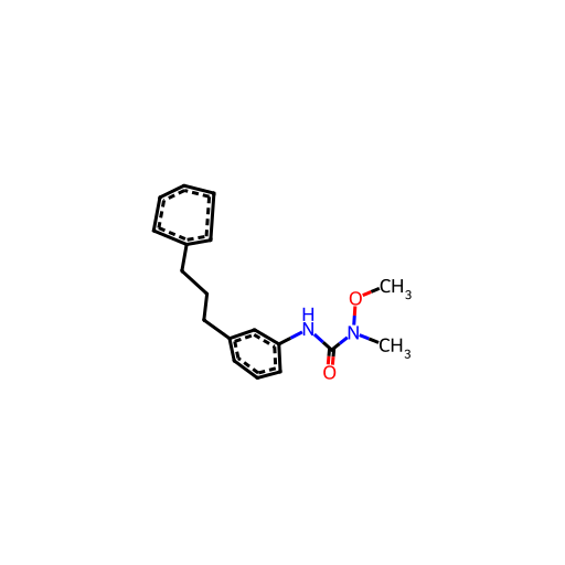 CON(C)C(=O)Nc1cccc(CCCc2ccccc2)c1